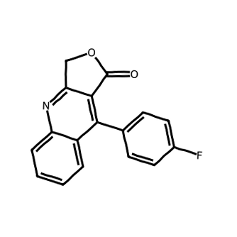 O=C1OCc2nc3ccccc3c(-c3ccc(F)cc3)c21